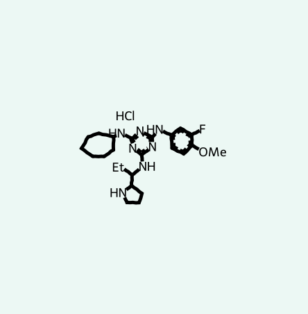 CCC(Nc1nc(Nc2ccc(OC)c(F)c2)nc(NC2CCCCCC2)n1)C1CCCN1.Cl